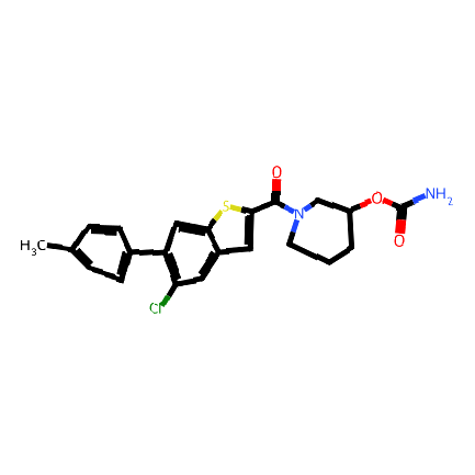 Cc1ccc(-c2cc3sc(C(=O)N4CCCC(OC(N)=O)C4)cc3cc2Cl)cc1